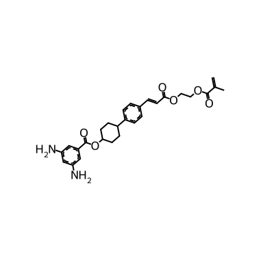 C=C(C)C(=O)OCCOC(=O)/C=C/c1ccc(C2CCC(OC(=O)c3cc(N)cc(N)c3)CC2)cc1